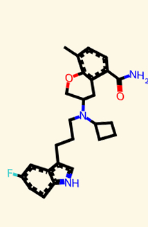 Cc1ccc(C(N)=O)c2c1OCC(N(CCCc1c[nH]c3ccc(F)cc13)C1CCC1)C2